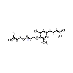 CCc1cc(OCC=C(Cl)Cl)cc(C)c1OC/C=N/OCC=C(Cl)Cl